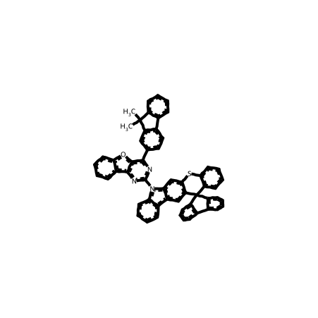 CC1(C)c2ccccc2-c2ccc(-c3nc(-n4c5ccccc5c5cc6c(cc54)Sc4ccccc4C64c5ccccc5-c5ccccc54)nc4c3oc3ccccc34)cc21